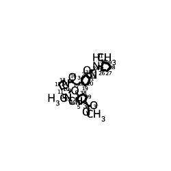 COC(=O)c1ccc(OC([C@@H]2CCCN2C(=O)Cc2ccc3nc(Nc4ccccc4C)oc3c2)N(C)C)cc1